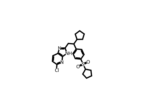 O=S(=O)(c1ccc(C(Cc2nc3ccc(Cl)nc3[nH]2)C2CCCC2)cc1)C1CCCC1